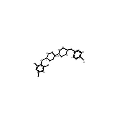 Cc1cc(C)c(SN2CCC(N3CCC(Cc4ccc(F)cc4)CC3)CC2)c(C)c1